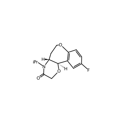 CC(C)N1C(=O)CO[C@@H]2c3cc(F)ccc3OCC[C@H]21